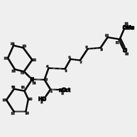 CCCCCCCCC(O)C(CCCCCCCC(=O)OC)N(C1CCCCC1)C1CCCCC1